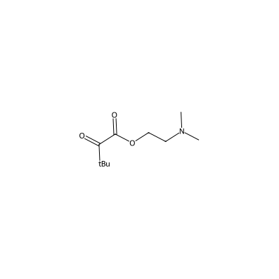 CN(C)CCOC(=O)C(=O)C(C)(C)C